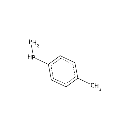 Cc1ccc(PP)cc1